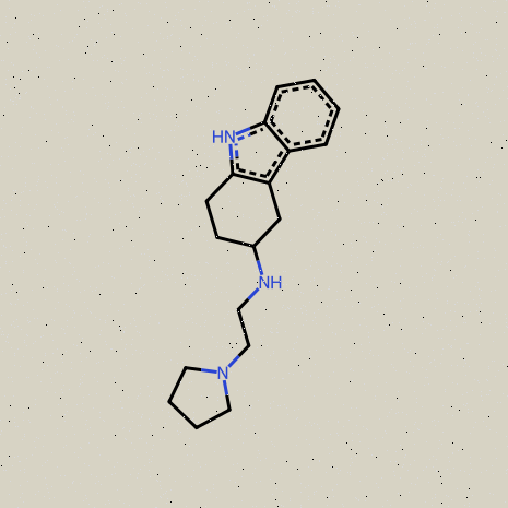 c1ccc2c3c([nH]c2c1)CCC(NCCN1CCCC1)C3